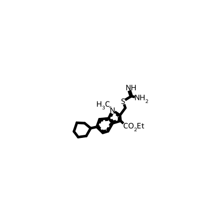 CCOC(=O)c1c(CSC(=N)N)n(C)c2cc(C3CCCCC3)ccc12